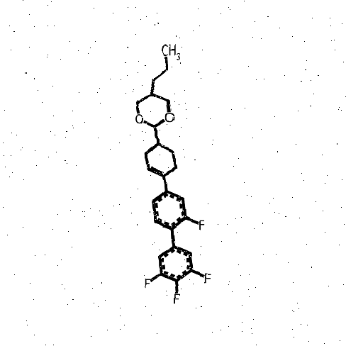 CCCC1COC(C2CC=C(c3ccc(-c4cc(F)c(F)c(F)c4)c(F)c3)CC2)OC1